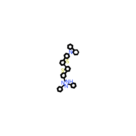 C1=Cc2c(c3ccccc3n2-c2ccc3c(c2)sc2c(-c4cccc5c4sc4ccc(C6=NC(c7ccccc7)=NC(c7ccccc7)N6)cc45)cccc23)CC1